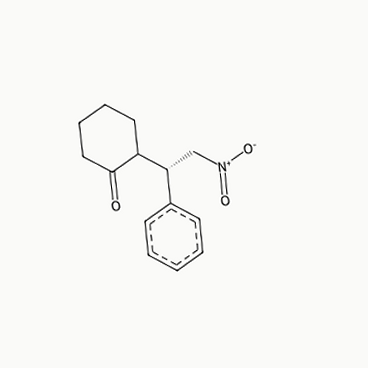 O=C1CCCCC1[C@H](C[N+](=O)[O-])c1ccccc1